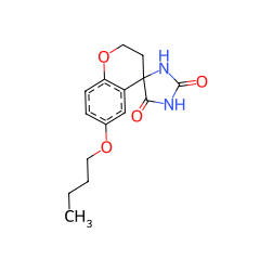 CCCCOc1ccc2c(c1)C1(CCO2)NC(=O)NC1=O